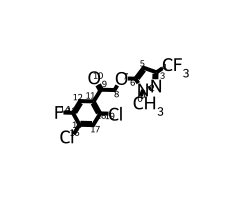 Cn1nc(C(F)(F)F)cc1OCC(=O)c1cc(F)c(Cl)cc1Cl